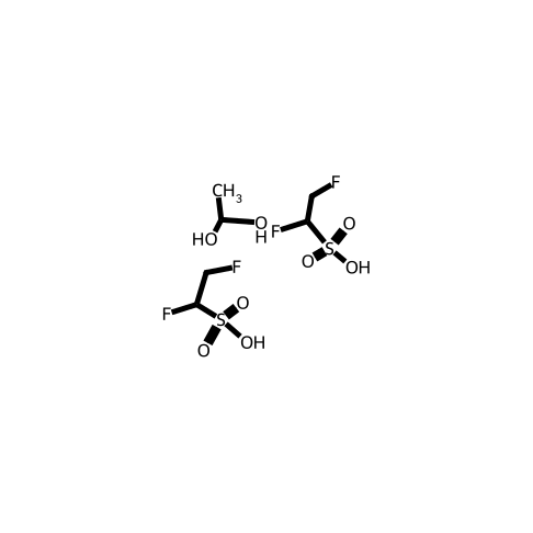 CC(O)O.O=S(=O)(O)C(F)CF.O=S(=O)(O)C(F)CF